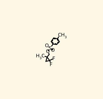 Cc1ccc(S(=O)(=O)OCC2(C)CC2(F)F)cc1